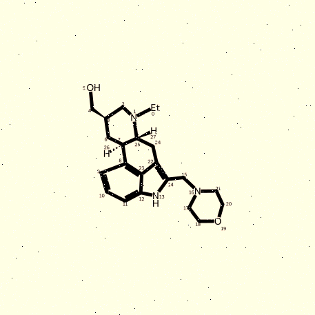 CCN1C[C@H](CO)C[C@@H]2c3cccc4[nH]c(CN5CCOCC5)c(c34)C[C@H]21